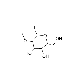 COC1C(I)O[C@H](CO)C(O)C1O